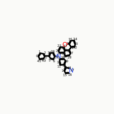 c1ccc(-c2ccc(N(c3ccc(-c4cccnc4)cc3)c3ccc4c5c(cccc35)-c3ccccc3O4)cc2)cc1